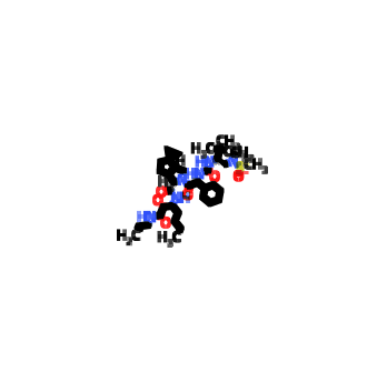 C=CCNC(=O)C(=O)C(CCCC)NC(=O)[C@@H]1[C@H]2CCC3(CC3)[C@H]2CN1C(=O)[C@@H](NC(=O)N[C@H](CN(C)[S+](C)[O-])C(C)(C)C)C1CCCCC1